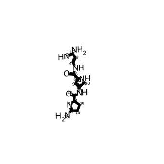 N=C(N)/C=C/NC(=O)c1cc(NC(=O)C2CCC(N)=N2)c[nH]1